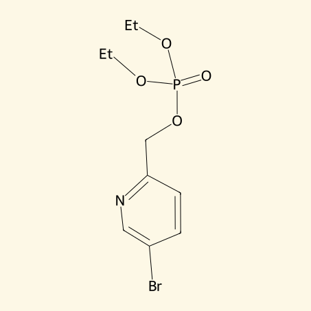 CCOP(=O)(OCC)OCc1ccc(Br)cn1